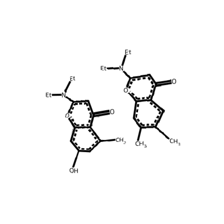 CCN(CC)c1cc(=O)c2c(C)cc(O)cc2o1.CCN(CC)c1cc(=O)c2cc(C)c(C)cc2o1